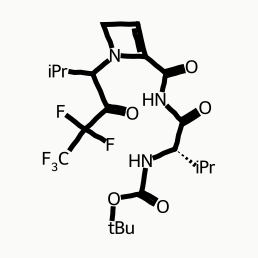 CC(C)C(C(=O)C(F)(F)C(F)(F)F)N1CC=C1C(=O)NC(=O)[C@@H](NC(=O)OC(C)(C)C)C(C)C